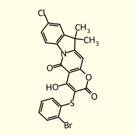 CC1(C)c2cc(Cl)ccc2-n2c1cc1oc(=O)c(Sc3ccccc3Br)c(O)c1c2=O